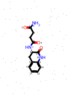 NC(=O)CCC(=O)N[C@H]1Cc2ccccc2NC1=O